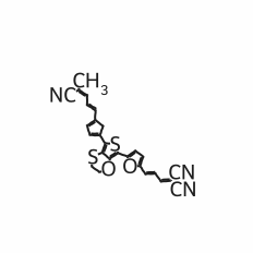 C/C(C#N)=C/C=C/C1=CC=C(c2sc(-c3ccc(/C=C/C=C(C#N)C#N)o3)c3c2SCCO3)C1